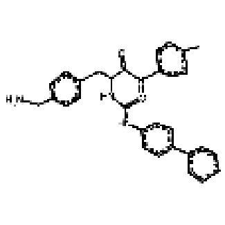 Cc1ccc(NC(=O)C(Cc2ccc(CN)cc2)NC(=O)Nc2ccc(-c3ccccc3)cc2)cc1